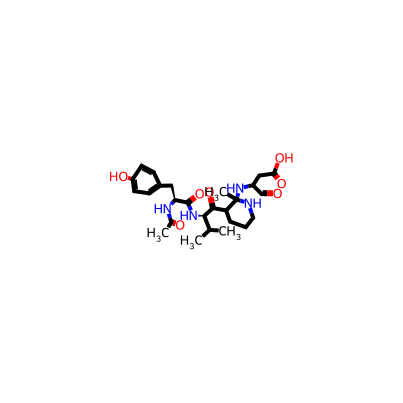 CC(=O)N[C@@H](Cc1ccc(O)cc1)C(=O)N[C@H](C(=O)C1CCCNC1(C)NC(C=O)CC(=O)O)C(C)C